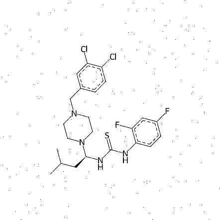 CC(C)C[C@H](NC(=S)Nc1ccc(F)cc1F)N1CCN(Cc2ccc(Cl)c(Cl)c2)CC1